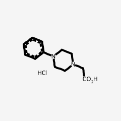 Cl.O=C(O)CN1CCN(c2ccccc2)CC1